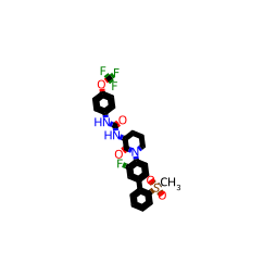 CS(=O)(=O)c1ccccc1-c1ccc(N2CCCC(NC(=O)Nc3ccc(OC(F)(F)F)cc3)C2=O)c(F)c1